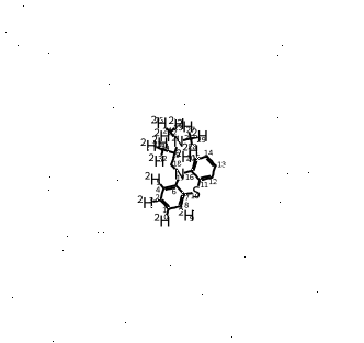 [2H]c1c([2H])c([2H])c2c(c1[2H])Sc1ccccc1N2CC([2H])(N(C([2H])([2H])[2H])C([2H])([2H])[2H])C([2H])([2H])[2H]